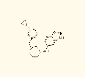 c1cc(CN2CCCC(Nc3ccc4cn[nH]c4c3)C2)cc(C2CC2)c1